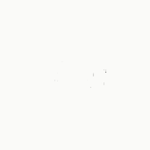 CCc1cc(S(=O)(=O)C(CC)CC)c(C(F)(F)F)cc1C(=O)N=C(N)N